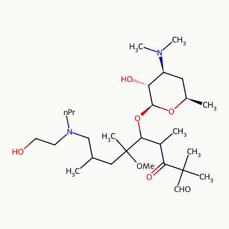 CCCN(CCO)CC(C)CC(C)(OC)C(O[C@@H]1O[C@H](C)C[C@H](N(C)C)[C@H]1O)C(C)C(=O)C(C)(C)C=O